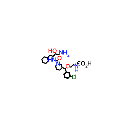 NCC(O)C(CC1CCCCC1)NC(=O)N1CCCC(C(OCCNC(=O)O)c2cccc(Cl)c2)C1